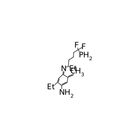 C/C=C1/C=C(N)C(CC)=C/C1=N/C(CC)CCCC(F)(F)P